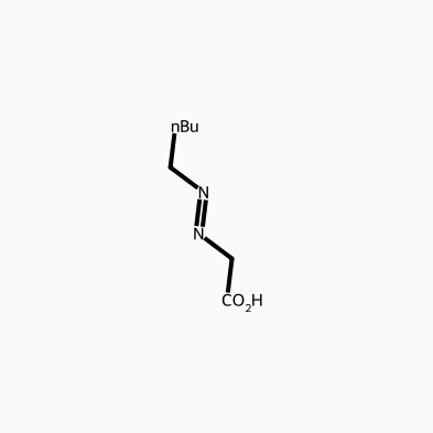 CCCCC/N=N/CC(=O)O